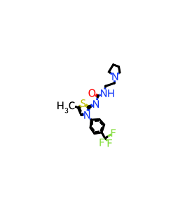 Cc1cn(-c2ccc(C(F)(F)F)cc2)/c(=N/C(=O)NCCN2CCCC2)s1